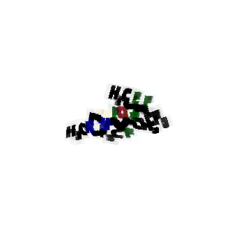 CC(O[C@@H](C)C(F)(C(F)N1CCN(C)CC1)C(F)(F)F)C(F)(F)[C@@H](F)C(F)(F)F